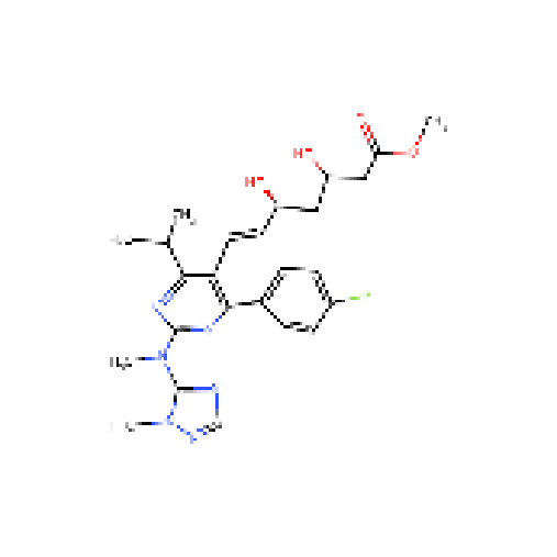 COC(=O)CC(O)C[C@H](O)/C=C/c1c(-c2ccc(F)cc2)nc(N(C)c2ncnn2C)nc1C(C)C